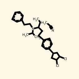 CC#N.CCC(CCc1ccc(C2CC(Cl)C(Cl)C2)cc1)N(CCc1ccccc1)C(C)C